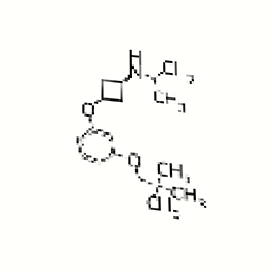 CC(C)N[C@H]1C[C@@H](Oc2cccc(OCC(C)(C)C)c2)C1